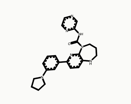 O=C(Nc1cnccn1)N1CCCNc2ccc(-c3cccc(N4CCCC4)c3)nc21